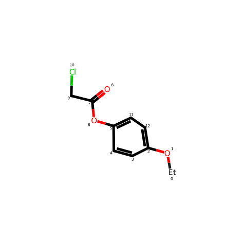 CCOc1ccc(OC(=O)CCl)cc1